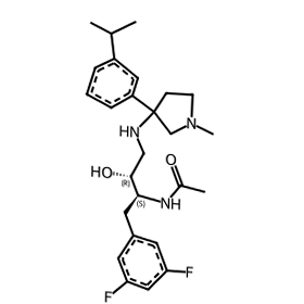 CC(=O)N[C@@H](Cc1cc(F)cc(F)c1)[C@H](O)CNC1(c2cccc(C(C)C)c2)CCN(C)C1